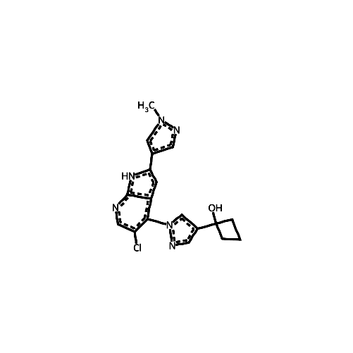 Cn1cc(-c2cc3c(-n4cc(C5(O)CCC5)cn4)c(Cl)cnc3[nH]2)cn1